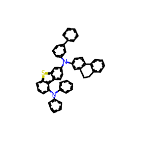 c1ccc(-c2cccc(N(c3ccc4c(c3)CCc3ccccc3-4)c3ccc4c(c3)sc3cccc(N(c5ccccc5)c5ccccc5)c34)c2)cc1